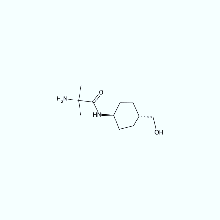 CC(C)(N)C(=O)N[C@H]1CC[C@H](CO)CC1